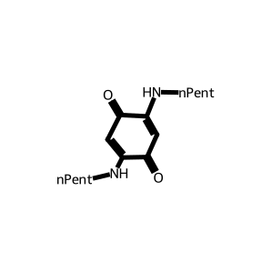 CCCCCNC1=CC(=O)C(NCCCCC)=CC1=O